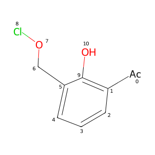 CC(=O)c1cccc(COCl)c1O